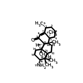 C[C@@H]1CCC[C@]2(C)C1=CC(=O)[C@@H]1[C@@]3(C)CC[C@H](N)C(C)(C)[C@@H]3CC[C@]12C